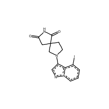 O=C1CC2(CCN(c3cnn4cccc(I)c34)C2)C(=O)N1